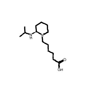 CC(C)N[C@H]1CCCCN1CCCCCC(=O)O